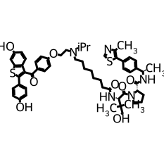 Cc1ncsc1-c1ccc([C@H](C)NC(=O)[C@@H]2CCCN2C(=O)[C@@H](NC(=O)CCCCCCCN(CCOc2ccc(C(=O)c3c(-c4ccc(O)cc4)sc4cc(O)ccc34)cc2)C(C)C)C(C)(C)CO)cc1